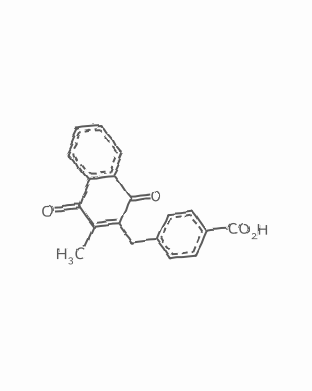 CC1=C(Cc2ccc(C(=O)O)cc2)C(=O)c2ccccc2C1=O